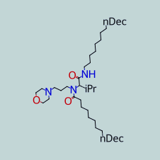 CCCCCCCCCCCCCCCCCCNC(=O)C(C(C)C)N(CCCN1CCOCC1)C(=O)CCCCCCCCCCCCCCCCC